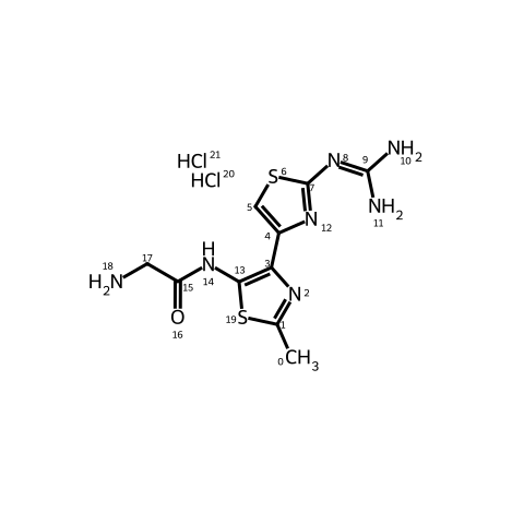 Cc1nc(-c2csc(N=C(N)N)n2)c(NC(=O)CN)s1.Cl.Cl